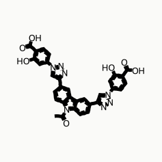 CC(=O)n1c2ccc(-c3cn(-c4ccc(C(=O)O)c(O)c4)nn3)cc2c2cc(-c3cn(-c4ccc(C(=O)O)c(O)c4)nn3)ccc21